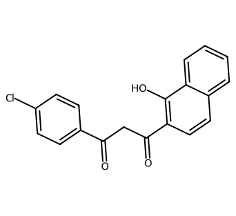 O=C(CC(=O)c1ccc2ccccc2c1O)c1ccc(Cl)cc1